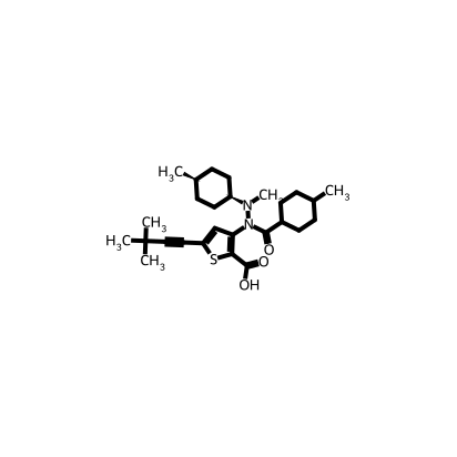 CC1CCC(C(=O)N(c2cc(C#CC(C)(C)C)sc2C(=O)O)N(C)[C@H]2CC[C@@H](C)CC2)CC1